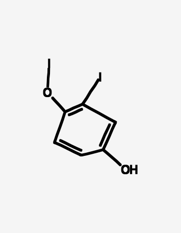 Oc1ccc(OI)c(I)c1